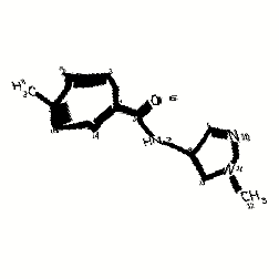 Cc1ccc(C(=O)NC2C=NN(C)C2)cc1